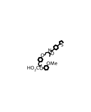 COc1cccc(OC(C)(Cc2ccc(OCCc3nc(-c4ccc(-c5cccs5)cc4)oc3C)cc2)C(=O)O)c1